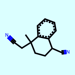 CC1(CC#N)CCC(C#N)c2ccccc21